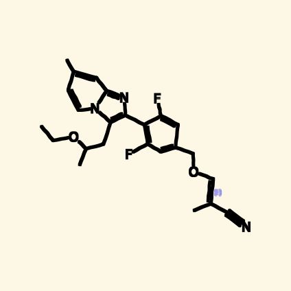 CCOC(C)Cc1c(-c2c(F)cc(CO/C=C(\C)C#N)cc2F)nc2cc(C)ccn12